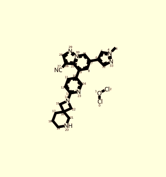 ClOCl.Cn1cc(-c2cc(-c3ccc(N4CC5(CCCNC5)C4)nc3)c3c(C#N)cnn3c2)cn1